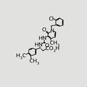 Cc1ccc([C@H](CC(=O)O)NC(=O)Nc2c(C)ccn(Cc3ccccc3Cl)c2=O)cc1C